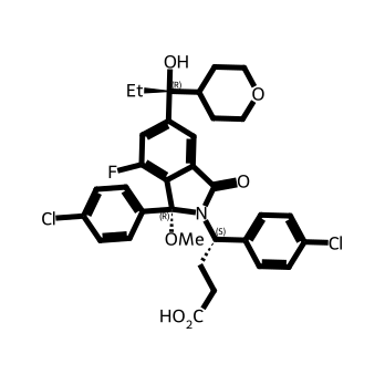 CC[C@](O)(c1cc(F)c2c(c1)C(=O)N([C@@H](CCC(=O)O)c1ccc(Cl)cc1)[C@@]2(OC)c1ccc(Cl)cc1)C1CCOCC1